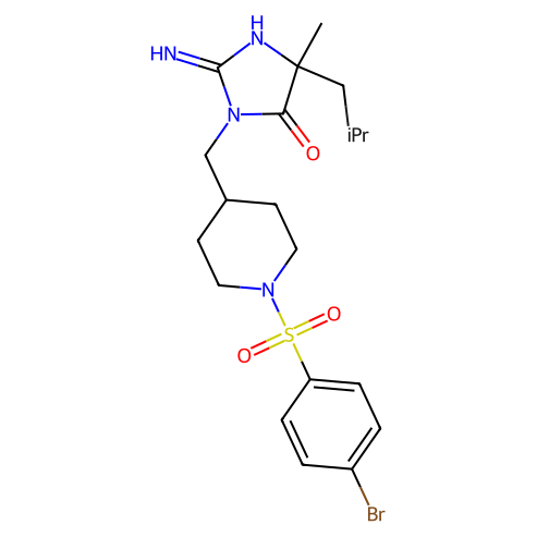 CC(C)CC1(C)NC(=N)N(CC2CCN(S(=O)(=O)c3ccc(Br)cc3)CC2)C1=O